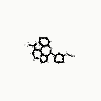 CCCCOc1cccc(C2=Nc3ccccc3-c3c(C(N)=O)cnn4ccc2c34)c1